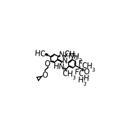 C#Cc1cc2nc(C)nc(N[C@H](C)c3cc(N)cc(C(F)(F)C(C)(C)O)c3)c2cc1OCCOC1CC1